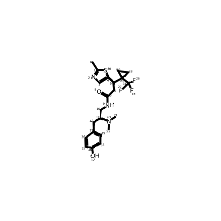 Cc1ncc(C(CC(=O)NC[C@H](Cc2ccc(O)cc2)N(C)C)C2(C(F)(F)F)CC2)s1